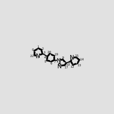 c1ccc(-c2ccc(-n3cc(-c4ccccn4)cn3)cc2)nc1